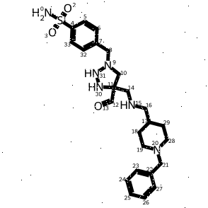 NS(=O)(=O)c1ccc(CN2CC(C=O)(CNCC3CCN(Cc4ccccc4)CC3)NN2)cc1